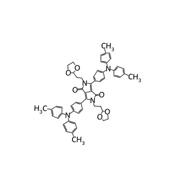 Cc1ccc(N(c2ccc(C)cc2)c2ccc(C3=C4C(=O)N(CCC5OCCO5)C(c5ccc(N(c6ccc(C)cc6)c6ccc(C)cc6)cc5)=C4C(=O)N3CCC3OCCO3)cc2)cc1